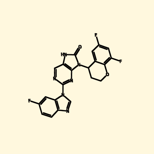 O=c1[nH]c2cnc(-n3cnc4ccc(F)cc43)nc2n1C1CCOc2c(F)cc(F)cc21